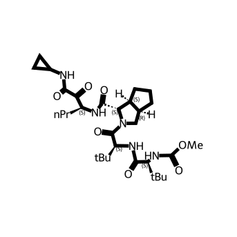 CCC[C@H](NC(=O)[C@@H]1[C@H]2CCC[C@H]2CN1C(=O)[C@@H](NC(=O)[C@@H](NC(=O)OC)C(C)(C)C)C(C)(C)C)C(=O)C(=O)NC1CC1